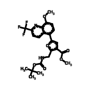 COC(=O)c1cc(-c2ccc(OC)c3nc(C(F)(F)F)ccc23)oc1CNC(=O)OC(C)(C)C